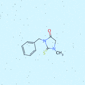 CN1CC(=O)N(Cc2ccccc2)C1=S